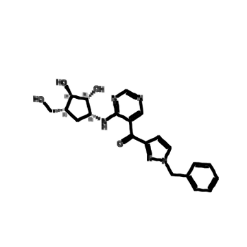 O=C(c1ccn(Cc2ccccc2)n1)c1cncnc1N[C@@H]1C[C@H](CO)[C@@H](O)[C@@H]1O